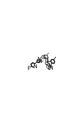 Cc1ccc(-n2nccn2)c(C(=O)N2C[C@H](C)CO[C@H]2Cn2cc(-c3ccc(F)cn3)cn2)c1